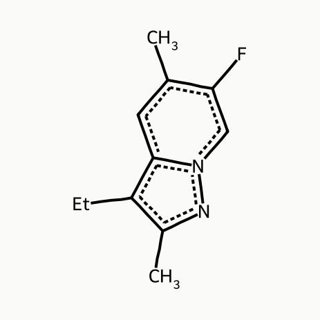 CCc1c(C)nn2cc(F)c(C)cc12